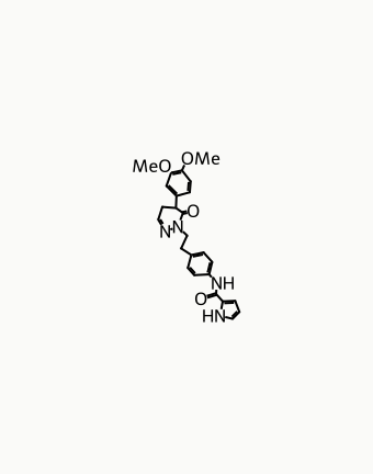 COc1ccc(C2CC=NN(CCc3ccc(NC(=O)c4ccc[nH]4)cc3)C2=O)cc1OC